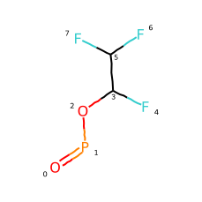 O=POC(F)C(F)F